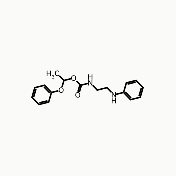 CC(OC(=O)NCCNc1ccccc1)Oc1ccccc1